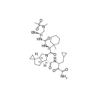 CN(C[C@@H](NC(=O)N[C@H](C(=O)N1C[C@H]2[C@H](CCC23CC3)[C@H]1C(=O)NC(CC1CC1)C(=O)C(N)=O)C1(C)CCCCC1)C(C)(C)C)S(C)(=O)=O